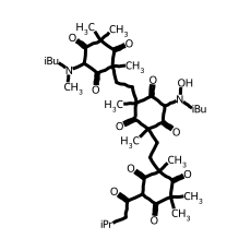 CCC(C)N(C)C1C(=O)C(C)(C)C(=O)C(C)(CCC2(C)C(=O)C(N(O)C(C)CC)C(=O)C(C)(CCC3(C)C(=O)C(C(=O)CC(C)C)C(=O)C(C)(C)C3=O)C2=O)C1=O